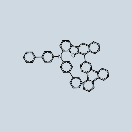 c1ccc(-c2ccc(N(c3ccc(-c4ccccc4)cc3)c3cccc4c3oc3c(-c5ccc6c7ccccc7c7ccccc7c6c5)c5ccccc5cc34)cc2)cc1